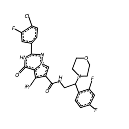 CC(C)c1c(C(=O)NCC(c2ccc(F)cc2F)N2CCOCC2)cn2nc(-c3ccc(Cl)c(F)c3)[nH]c(=O)c12